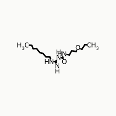 CCCCCCCCNC(=N)NC(=O)NCCCOCCC